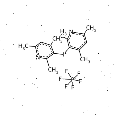 Cc1cc(C)c([I+]c2c(C)cc(C)nc2C)c(C)n1.F[P-](F)(F)(F)(F)F